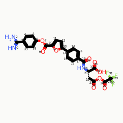 N=C(N)c1ccc(OC(=O)c2ccc(-c3ccc(C(=O)N[C@@H](CC(=O)OC(=O)C(F)(F)F)C(=O)O)cc3)o2)cc1